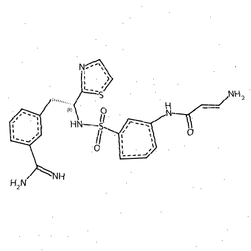 N=C(N)c1cccc(C[C@@H](NS(=O)(=O)c2cccc(NC(=O)C=CN)c2)c2nccs2)c1